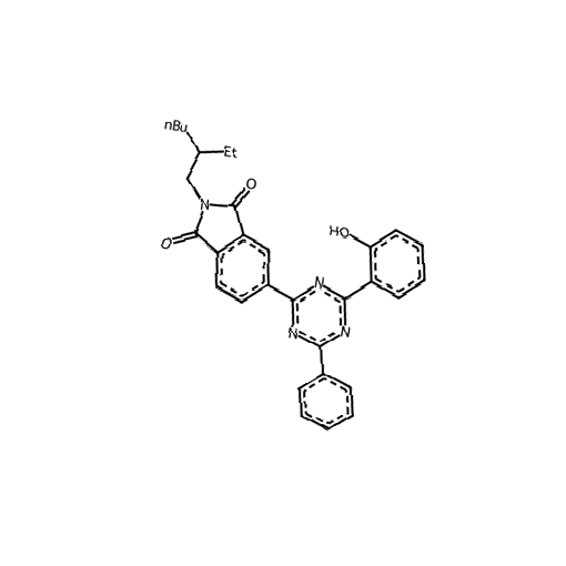 CCCCC(CC)CN1C(=O)c2ccc(-c3nc(-c4ccccc4)nc(-c4ccccc4O)n3)cc2C1=O